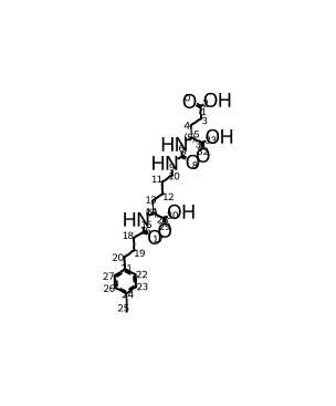 O=C(O)CC[C@H](NC(=O)NCCCC[C@H](NC(=O)CCCc1ccc(I)cc1)C(=O)O)C(=O)O